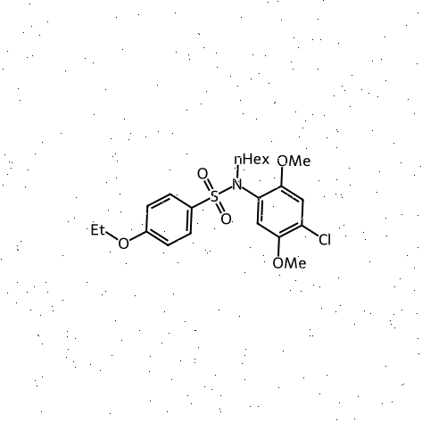 CCCCCCN(c1cc(OC)c(Cl)cc1OC)S(=O)(=O)c1ccc(OCC)cc1